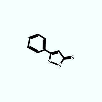 S=c1cc(-c2cc[c]cc2)ss1